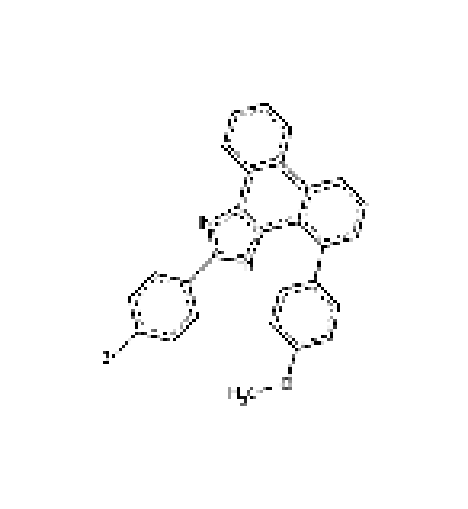 COc1ccc(-c2cccc3c4ccccc4c4[nH]c(-c5ccc(Br)cc5)nc4c23)cc1